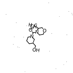 COC(N1CCCC(CO)C1)N1CCOC[C@@H]1C